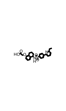 CCc1cccc(-c2ccc(S(=O)(=O)NC3CCCc4c(OCC(=O)O)cccc43)cc2)n1